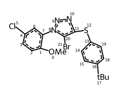 COc1ccc(Cl)cc1-n1nnc(Sc2ccc(C(C)(C)C)cc2)c1Br